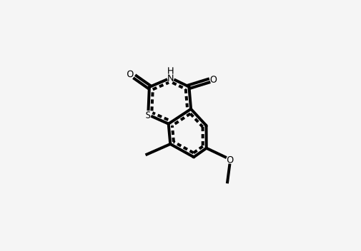 COc1cc(C)c2sc(=O)[nH]c(=O)c2c1